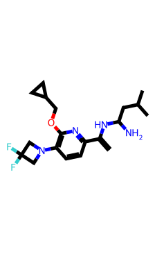 C=C(NC(N)CC(C)C)c1ccc(N2CC(F)(F)C2)c(OCC2CC2)n1